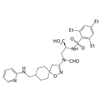 CCc1cc(CC)c(S(=O)(=O)N[C@@H](CN(C=O)C2=NOC3(CCC(CNc4ccccn4)CC3)C2)C(=O)O)c(CC)c1